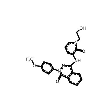 O=c1c(Nc2nn(-c3ccc(OC(F)(F)F)cc3)c(=O)c3ccccc23)cccn1CCO